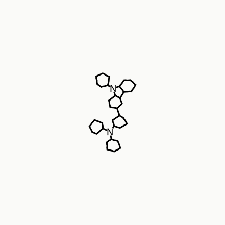 C1CCC(N(C2CCCCC2)C2CCCC(C3CCC4C(C3)C3CCCCC3N4C3CCCCC3)C2)CC1